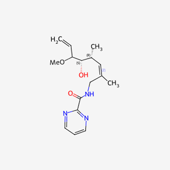 C=CC(OC)[C@@H](O)[C@H](C)/C=C(/C)CNC(=O)c1ncccn1